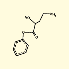 NCCC(O)C(=O)Oc1ccccc1